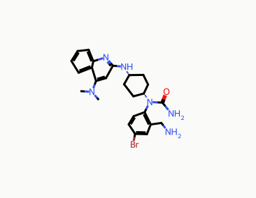 CN(C)c1cc(N[C@H]2CC[C@@H](N(C(N)=O)c3ccc(Br)cc3CN)CC2)nc2ccccc12